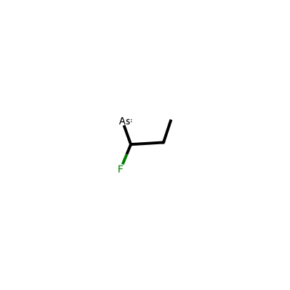 CCC(F)[As]